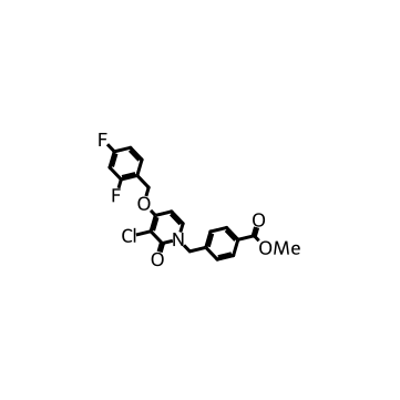 COC(=O)c1ccc(Cn2ccc(OCc3ccc(F)cc3F)c(Cl)c2=O)cc1